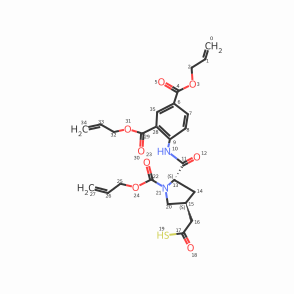 C=CCOC(=O)c1ccc(NC(=O)[C@@H]2C[C@@H](CC(=O)S)CN2C(=O)OCC=C)c(C(=O)OCC=C)c1